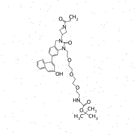 C=CC(=O)N1CC(N2Cc3ccc(-c4cc(O)cc5ccccc45)cc3N(CCOCCOCCOCCNC(=O)OC(C)(C)C)C2=O)C1